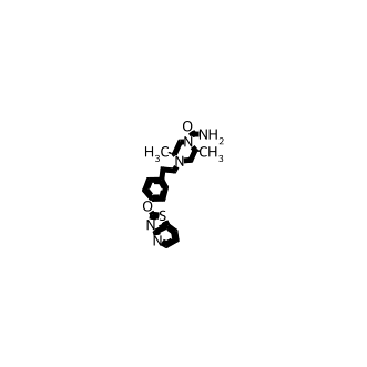 C[C@@H]1CN(C(N)=O)[C@H](C)CN1CCc1ccc(Oc2nc3ncccc3s2)cc1